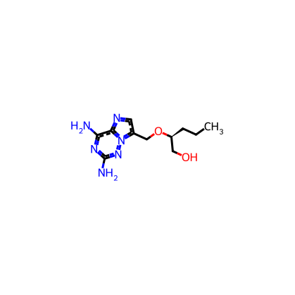 CCC[C@@H](CO)OCc1cnc2c(N)nc(N)nn12